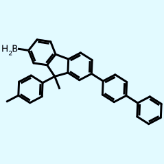 Bc1ccc2c(c1)C(C)(c1ccc(C)cc1)c1cc(-c3ccc(-c4ccccc4)cc3)ccc1-2